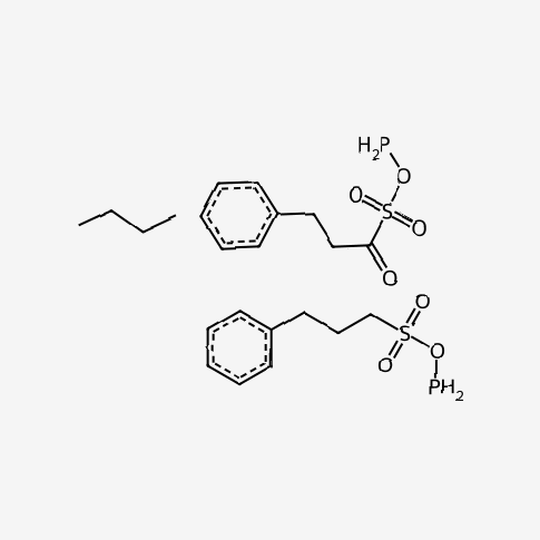 CCCC.O=C(CCc1ccccc1)S(=O)(=O)OP.O=S(=O)(CCCc1ccccc1)OP